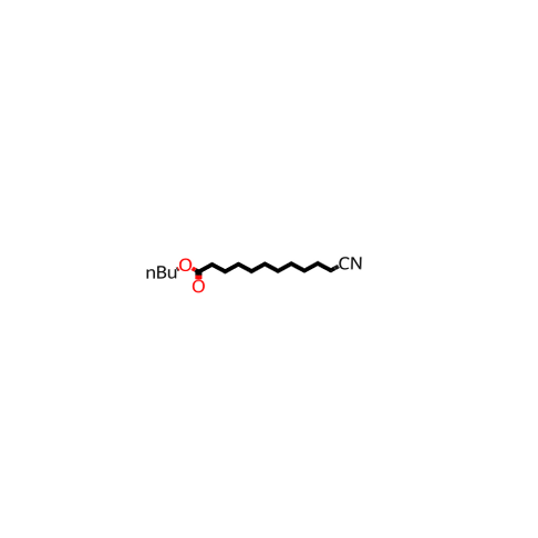 CCCCOC(=O)CCCCCCCCCCC#N